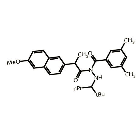 CCCC(NN(C(=O)c1cc(C)cc(C)c1)C(=O)C(C)c1ccc2cc(OC)ccc2c1)C(C)(C)C